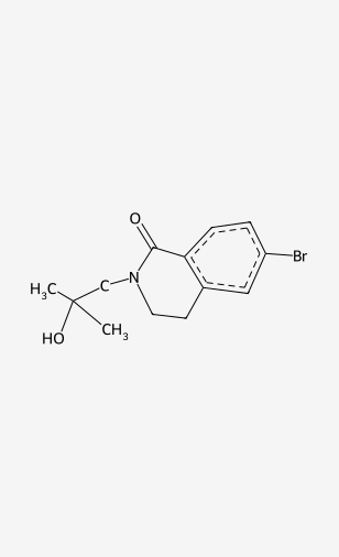 CC(C)(O)CN1CCc2cc(Br)ccc2C1=O